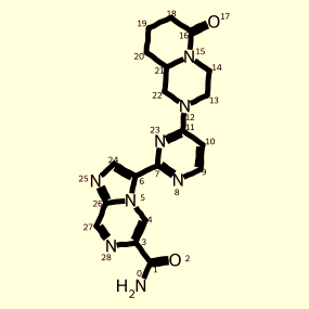 NC(=O)c1cn2c(-c3nccc(N4CCN5C(=O)CCCC5C4)n3)cnc2cn1